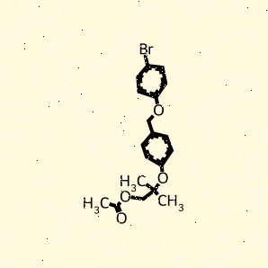 CC(=O)OCC(C)(C)Oc1ccc(COc2ccc(Br)cc2)cc1